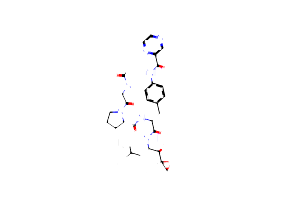 CC(=O)NCC(=O)N1CCC[C@H]1C(=O)N[C@@H](Cc1ccc(NC(=O)c2cnccn2)cc1)C(=O)N[C@@H](CC(C)C)C(=O)[C@@]1(C)CO1